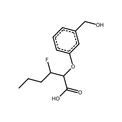 CCCC(F)C(Oc1cccc(CO)c1)C(=O)O